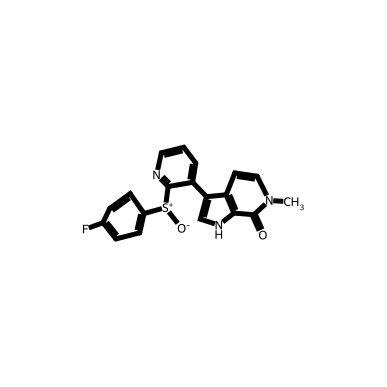 Cn1ccc2c(-c3cccnc3[S+]([O-])c3ccc(F)cc3)c[nH]c2c1=O